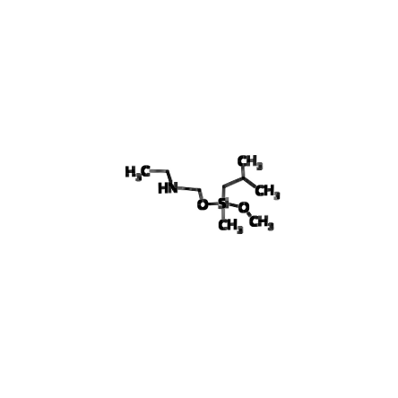 CCNCO[Si](C)(CC(C)C)OC